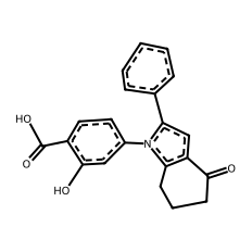 O=C(O)c1ccc(-n2c(-c3ccccc3)cc3c2CCCC3=O)cc1O